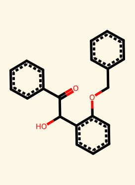 O=C(c1ccccc1)C(O)c1ccccc1OCc1ccccc1